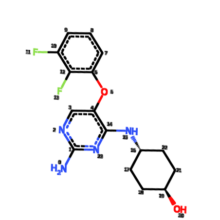 Nc1ncc(Oc2cccc(F)c2F)c(N[C@H]2CC[C@H](O)CC2)n1